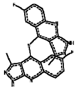 Cc1n[nH]c2nc3ccc(F)cc3c(Sc3c4cc(F)ccc4nc4[nH]nc(C)c34)c12